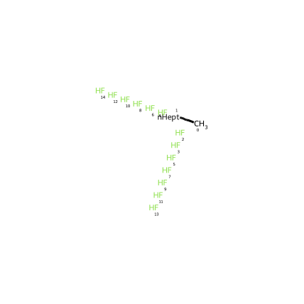 CCCCCCCC.F.F.F.F.F.F.F.F.F.F.F.F.F